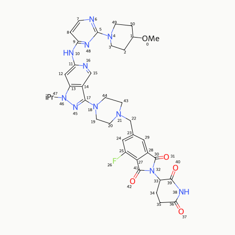 COC1CCN(c2nccc(Nc3cc4c(cn3)c(N3CCN(Cc5cc(F)c6c(c5)C(=O)N(C5CCC(=O)NC5=O)C6=O)CC3)nn4C(C)C)n2)CC1